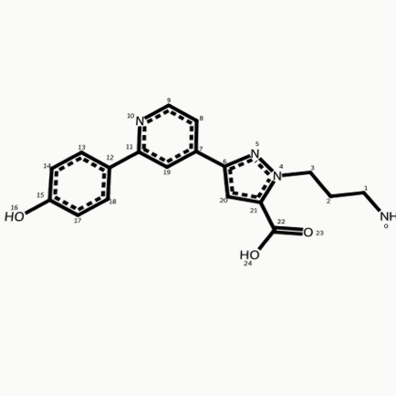 NCCCn1nc(-c2ccnc(-c3ccc(O)cc3)c2)cc1C(=O)O